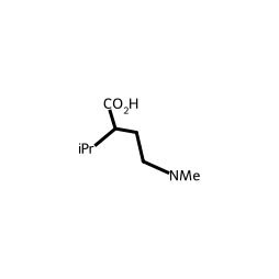 CNCCC(C(=O)O)C(C)C